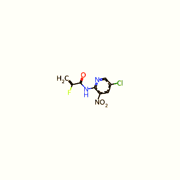 C=C(F)C(=O)Nc1ncc(Cl)cc1[N+](=O)[O-]